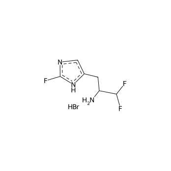 Br.NC(Cc1cnc(F)[nH]1)C(F)F